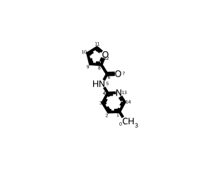 Cc1ccc(NC(=O)c2ccco2)nc1